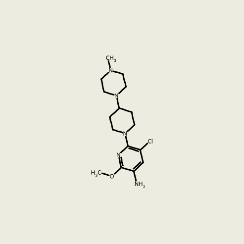 COc1nc(N2CCC(N3CCN(C)CC3)CC2)c(Cl)cc1N